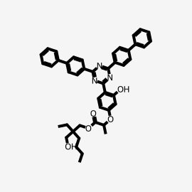 CCCCC(CC)(CO)COC(=O)C(C)Oc1ccc(-c2nc(-c3ccc(-c4ccccc4)cc3)nc(-c3ccc(-c4ccccc4)cc3)n2)c(O)c1